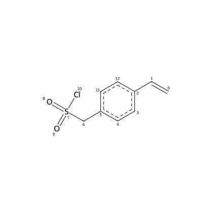 C=Cc1ccc(CS(=O)(=O)Cl)cc1